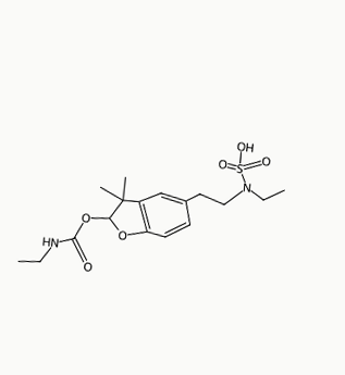 CCNC(=O)OC1Oc2ccc(CCN(CC)S(=O)(=O)O)cc2C1(C)C